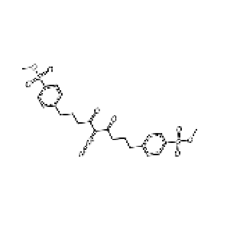 COS(=O)(=O)c1ccc(CCCC(=O)C(=[N+]=[N-])C(=O)CCCc2ccc(S(=O)(=O)OC)cc2)cc1